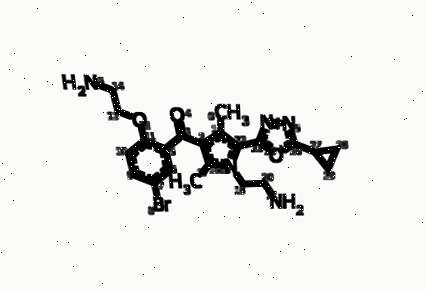 Cc1c(C(=O)c2cc(Br)ccc2OCCN)c(C)n(CCN)c1-c1nnc(C2CC2)o1